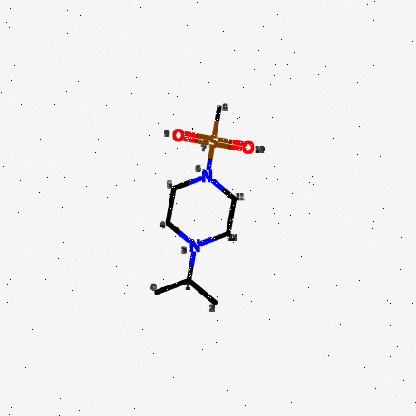 CC(C)N1CCN(S(C)(=O)=O)CC1